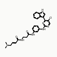 CN(C)C/C=C/C(=O)NCCC(=O)Nc1cccc(Nc2ncc(Cl)c(-c3c[nH]c4ccccc34)n2)c1